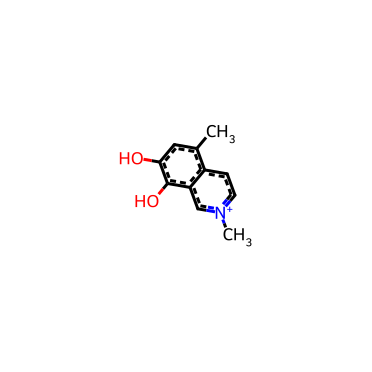 Cc1cc(O)c(O)c2c[n+](C)ccc12